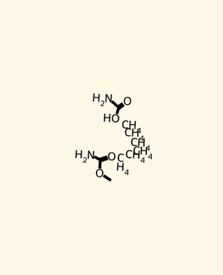 C.C.C.C.C.C.COC(N)=O.NC(=O)O